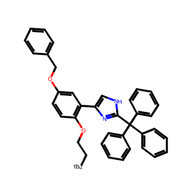 CC(C)(C)CCOc1ccc(OCc2ccccc2)cc1-c1c[nH]c(C(c2ccccc2)(c2ccccc2)c2ccccc2)n1